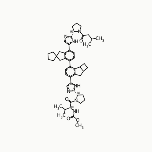 COC(=O)N[C@H](C(=O)N1CCC[C@H]1c1ncc(-c2ccc(-c3ccc(-c4cnc([C@@H]5CCCN5C(=O)CC(C)C)[nH]4)c4c3CC3(CCCC3)C4)c3c2CC2CCC32)[nH]1)C(C)C